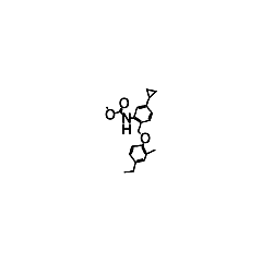 CCc1ccc(OCc2ccc(C3CC3)cc2NC(=O)OC)c(C)c1